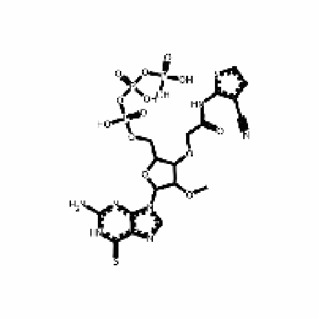 COC1C(OCC(=O)Nc2sccc2C#N)C(COP(=O)(O)OP(=O)(O)OP(=O)(O)O)OC1n1cnc2c(=S)[nH]c(N)nc21